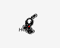 O=COCC1CCCN2CCN(CC(=O)O)CCCN(CC1)CC(CCC(=O)OC1C(=O)CCC1=O)C2